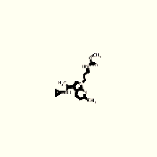 COC(=O)NCCCn1cc(C(C)NC2CC2)c2ccc(C)nc21